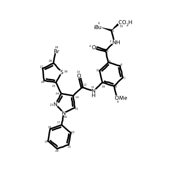 CC[C@H](C)[C@H](NC(=O)c1ccc(OC)c(NC(=O)c2cn(-c3ccccc3)nc2-c2ccc(Br)s2)c1)C(=O)O